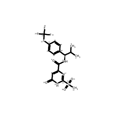 CC(C)[C@@H](NC(=O)c1cc(=O)[nH]c(S(C)(=O)=O)n1)c1ccc(SC(F)(F)F)cc1